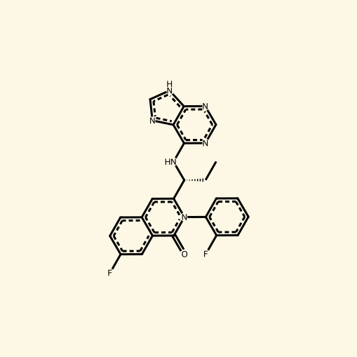 CC[C@@H](Nc1ncnc2[nH]cnc12)c1cc2ccc(F)cc2c(=O)n1-c1ccccc1F